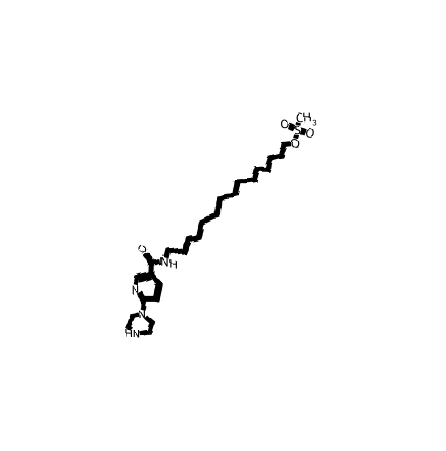 CS(=O)(=O)OCCCCCCCCCCCCCCCNC(=O)c1ccc(N2CCNCC2)nc1